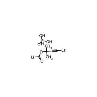 O=[PH](O)O.[Li][C](=O)OC(C)(C)C#CCC